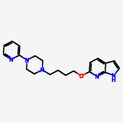 c1ccc(N2CCN(CCCCOc3ccc4cc[nH]c4n3)CC2)nc1